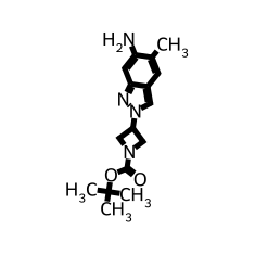 Cc1cc2cn(C3CN(C(=O)OC(C)(C)C)C3)nc2cc1N